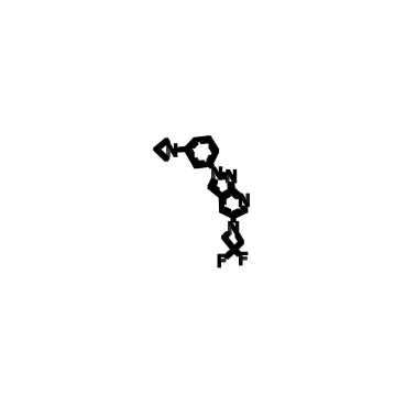 FC1(F)CN(c2cnc3nn(-c4cccc(N5CCC5)c4)cc3c2)C1